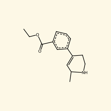 CCOC(=O)c1cccc(C2=CC(C)NCC2)c1